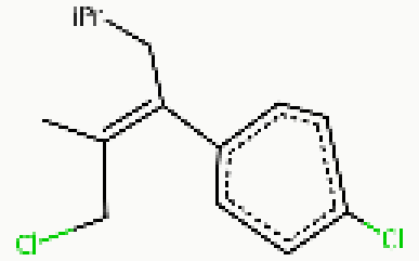 CC(CCl)=C(CC(C)C)c1ccc(Cl)cc1